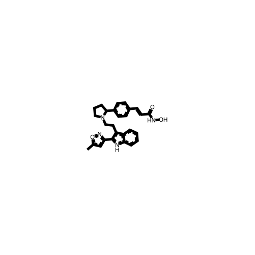 Cc1cc(-c2[nH]c3ccccc3c2CCN2CCCC2c2ccc(C=CC(=O)NO)cc2)no1